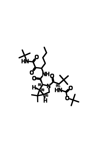 CCCCC(NC(=O)[C@@H]1[C@@H]2[C@H](CN1C(=O)[C@@H](NC(=O)OC(C)(C)C)C(C)(C)C)C2(C)C)C(=O)C(=O)NC(C)(C)C